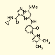 CNc1cc(Nc2cccn(-c3nc(C)c(C)s3)c2=O)nc2c(C(=O)NC3CC3)cnn12